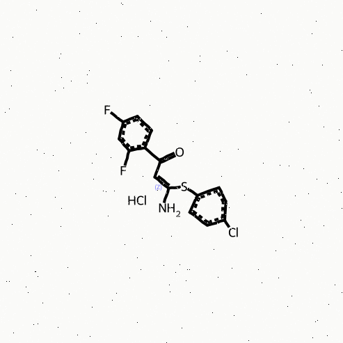 Cl.N/C(=C/C(=O)c1ccc(F)cc1F)Sc1ccc(Cl)cc1